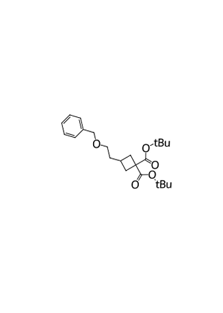 CC(C)(C)OC(=O)C1(C(=O)OC(C)(C)C)CC(CCOCc2ccccc2)C1